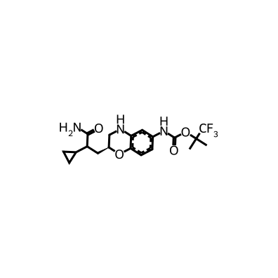 CC(C)(OC(=O)Nc1ccc2c(c1)NC[C@H](CC(C(N)=O)C1CC1)O2)C(F)(F)F